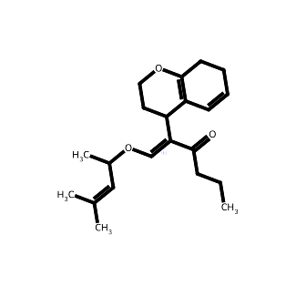 CCCC(=O)/C(=C/OC(C)C=C(C)C)C1CCOC2=C1C=CCC2